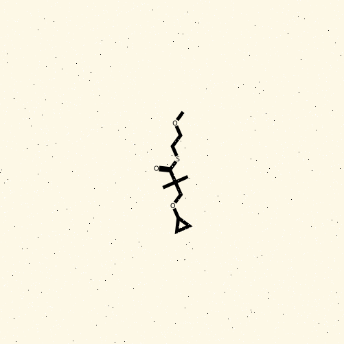 COCCSC(=O)C(C)(C)COC1CC1